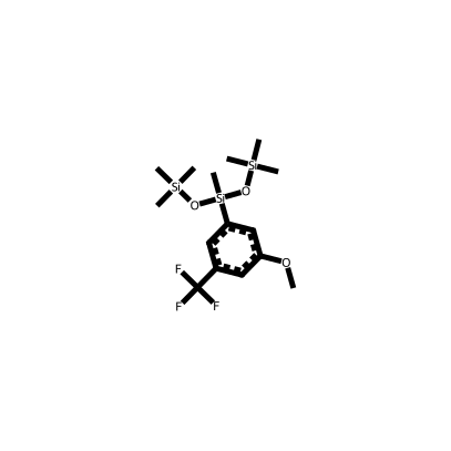 COc1cc(C(F)(F)F)cc([Si](C)(O[Si](C)(C)C)O[Si](C)(C)C)c1